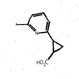 O=C(O)C1CC1c1cccc(I)n1